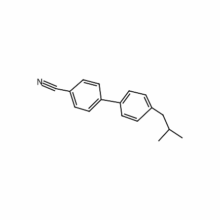 CC(C)Cc1ccc(-c2ccc(C#N)cc2)cc1